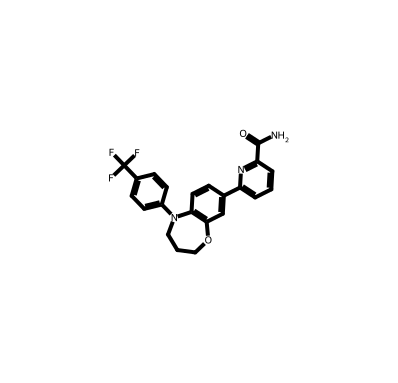 NC(=O)c1cccc(-c2ccc3c(c2)OCCCN3c2ccc(C(F)(F)F)cc2)n1